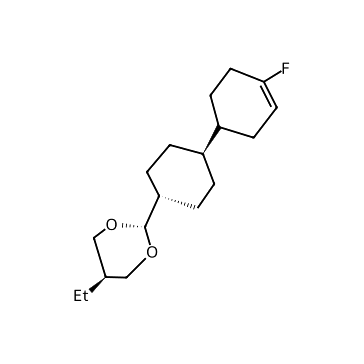 CC[C@H]1CO[C@H]([C@H]2CC[C@H](C3CC=C(F)CC3)CC2)OC1